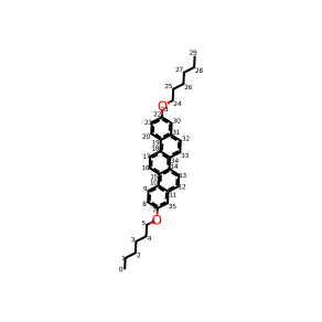 CCCCCCOc1ccc2c(ccc3c2ccc2c4ccc(OCCCCCC)cc4ccc23)c1